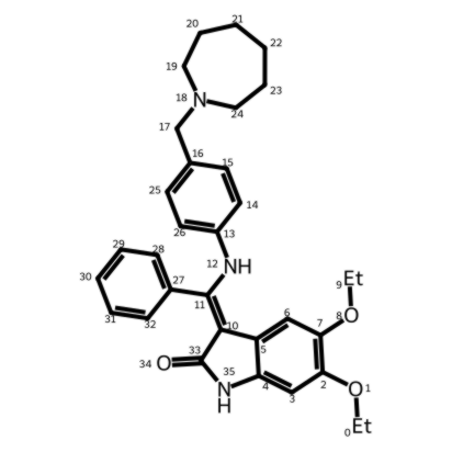 CCOc1cc2c(cc1OCC)C(=C(Nc1ccc(CN3CCCCCC3)cc1)c1ccccc1)C(=O)N2